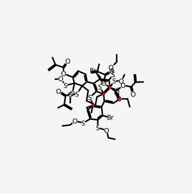 C=C(C)C(=O)OC1=CC=C(c2c(Sc3cc(SOCC)c(SOCC)c(Br)c3C3=CC=C(OC(=O)C(=C)C)C(OC(=O)C(=C)C)(SOC)C3(CCCC)SOC)cc(SOCC)c(SOCC)c2Br)C(CCCC)(SOC)C1(OC(=O)C(=C)C)SOC